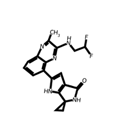 Cc1nc2cccc(-c3cc4c([nH]3)C3(CC3)NC4=O)c2nc1NCC(F)F